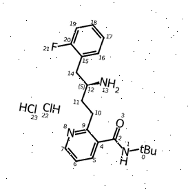 CC(C)(C)NC(=O)c1cccnc1CC[C@H](N)Cc1ccccc1F.Cl.Cl